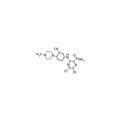 [C-]#[N+]c1cc(Nc2nc(Cl)c(CC)nc2C(N)=O)ccc1N1CCN(C)CC1